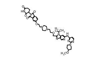 COC1CCN(c2nccc(Nc3cc4c(cn3)nc(COCCN3CCN(CCOc5ccc6c(c5)C(=O)N(C5CCC(=O)NC5=O)C6=O)CC3)n4C(C)C)n2)CC1